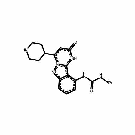 CC(C)NC(=O)Nc1cccc2nn3c(C4CCNCC4)cc(=O)[nH]c3c12